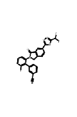 N#Cc1cccc(-c2c(F)cccc2N2Cc3ccc(-c4nnc(C(F)F)o4)cc3C2=O)c1